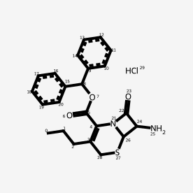 CCCC1=C(C(=O)OC(c2ccccc2)c2ccccc2)N2C(=O)C(N)C2SC1.Cl